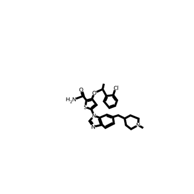 CC(Oc1cc(-n2cnc3ccc(CC4CCN(C)CC4)cc32)sc1C(N)=O)c1ccccc1Cl